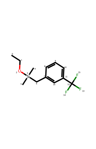 CCO[Si](C)(C)Cc1cccc(C(F)(F)F)c1